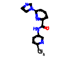 O=C(Nc1ccc(C(F)(F)F)nc1)c1cccc(-n2ccnc2)n1